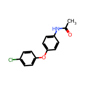 CC(=O)Nc1ccc(Oc2ccc(Cl)cc2)cc1